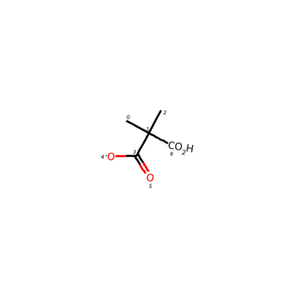 CC(C)(C([O])=O)C(=O)O